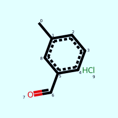 Cc1cccc(C=O)c1.Cl